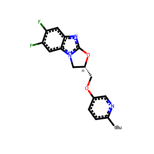 CC(C)(C)c1ccc(OC[C@@H]2Cn3c(nc4cc(F)c(F)cc43)O2)cn1